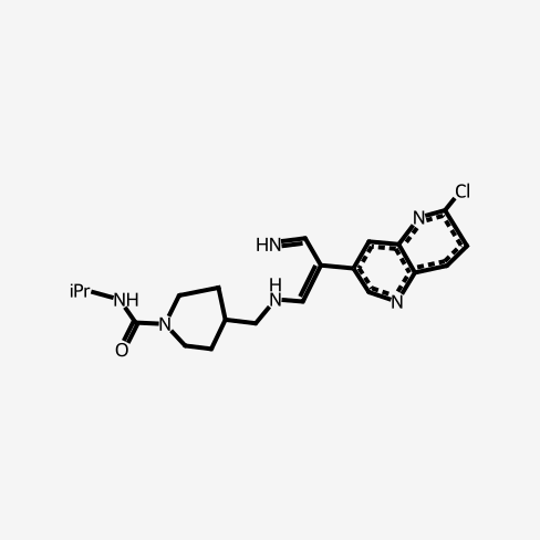 CC(C)NC(=O)N1CCC(CN/C=C(\C=N)c2cnc3ccc(Cl)nc3c2)CC1